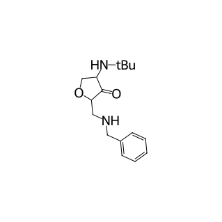 CC(C)(C)NC1COC(CNCc2ccccc2)C1=O